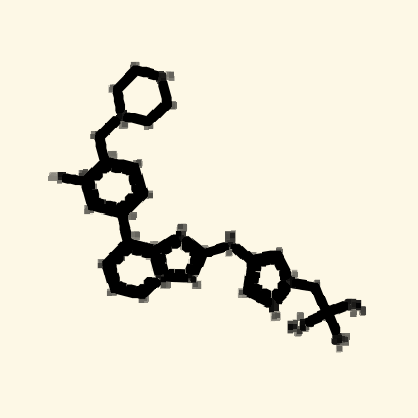 CC(C)(O)Cn1cc(Nc2nc3c(-c4ccc(CN5CCOCC5)c(F)c4)cccn3n2)cn1